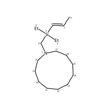 CC=C[Si](CC)(CC)CN1CCCCCCCCCC1